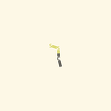 C=C=S=S